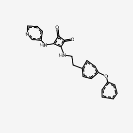 O=c1c(NCCc2ccc(Oc3ccccc3)cc2)c(Nc2cccnc2)c1=O